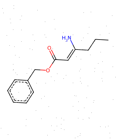 CCC/C(N)=C/C(=O)OCc1ccccc1